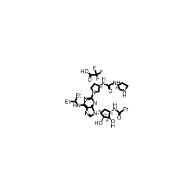 CCC(=O)N[C@H]1C[C@@H](n2cnc3c(NC(CC)CC)nc(N4CC[C@@H](NC(=O)N[C@@H]5CCNC5)C4)nc32)[C@H](O)[C@@H]1O.O=C(O)C(F)(F)F